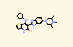 CC1CN(c2ccc3nc(-c4c(NC5CCCC5)c5sccc5[nH]c4=O)[nH]c3c2)CC(C)N1C